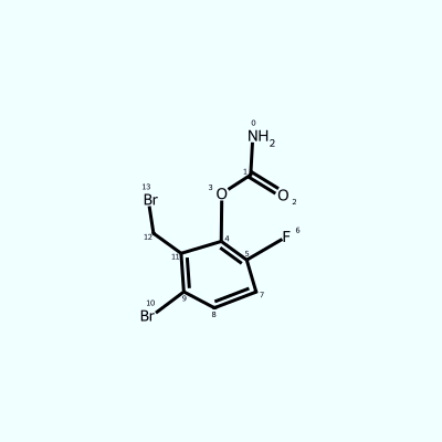 NC(=O)Oc1c(F)ccc(Br)c1CBr